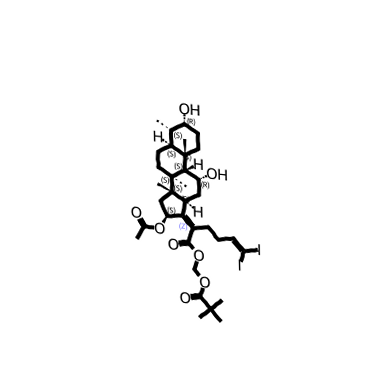 CC(=O)O[C@H]1C[C@@]2(C)[C@@H](C[C@@H](O)[C@H]3[C@@]4(C)CC[C@@H](O)[C@@H](C)[C@@H]4CC[C@@]32C)/C1=C(\CCC=C(I)I)C(=O)OCOC(=O)C(C)(C)C